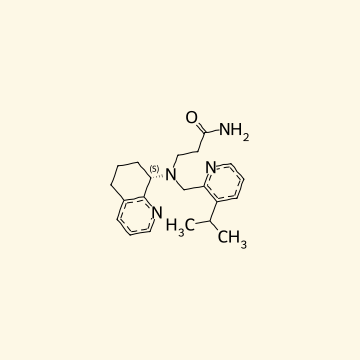 CC(C)c1cccnc1CN(CCC(N)=O)[C@H]1CCCc2cccnc21